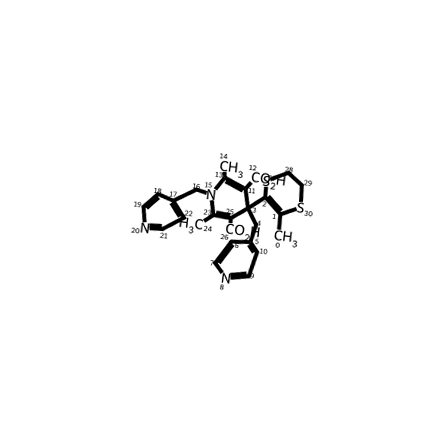 CC1=C(C2(Cc3ccncc3)C(C(=O)O)=C(C)N(Cc3ccncc3)C(C)=C2C(=O)O)SCCS1